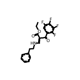 CCOC(=O)C(=CNCCc1ccccc1)C(=O)c1cc(F)c(F)c(F)c1F